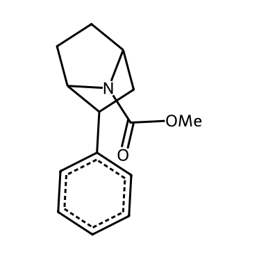 COC(=O)N1C2CCC1C(c1ccccc1)C2